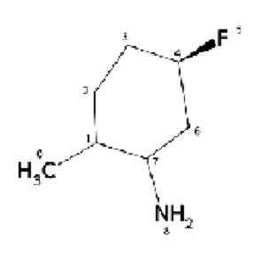 CC1CC[C@@H](F)CC1N